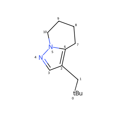 CC(C)(C)Cc1cnn2c1CCCC2